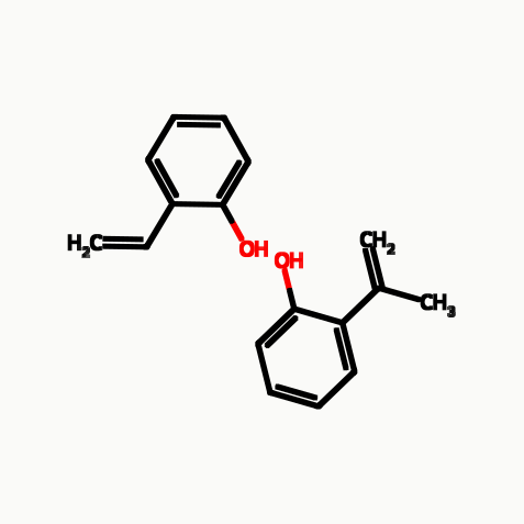 C=C(C)c1ccccc1O.C=Cc1ccccc1O